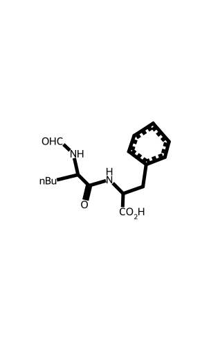 CCCCC(NC=O)C(=O)NC(Cc1ccccc1)C(=O)O